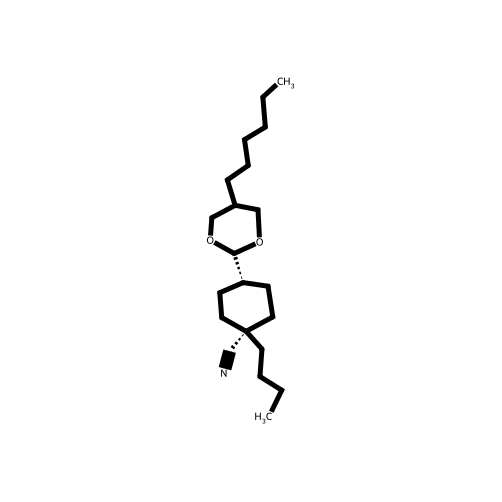 CCCCCCC1COC([C@H]2CC[C@](C#N)(CCCC)CC2)OC1